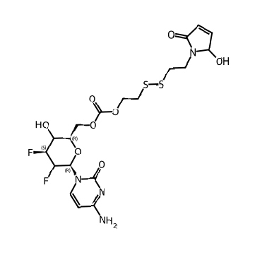 Nc1ccn([C@@H]2O[C@H](COC(=O)OCCSSCCN3C(=O)C=CC3O)C(O)[C@H](F)C2F)c(=O)n1